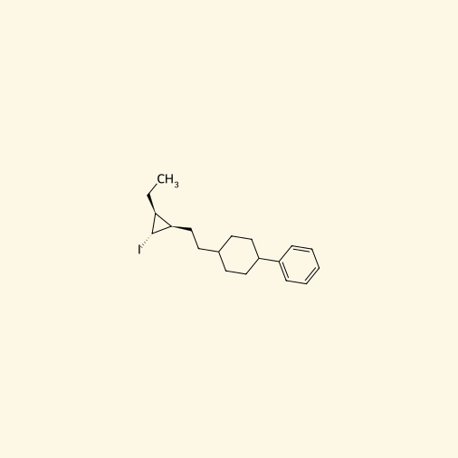 CC[C@@H]1[C@@H](I)[C@@H]1CCC1CCC(c2ccccc2)CC1